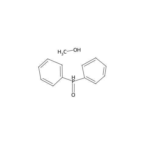 CO.O=[PH](c1ccccc1)c1ccccc1